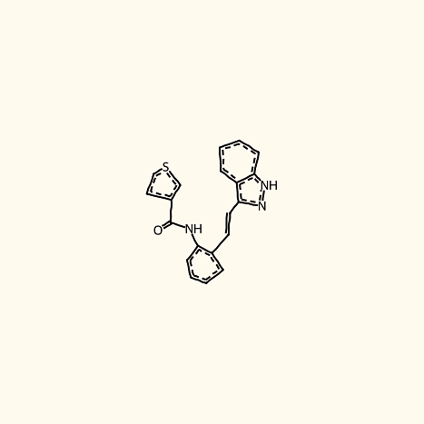 O=C(Nc1ccccc1/C=C/c1n[nH]c2ccccc12)c1ccsc1